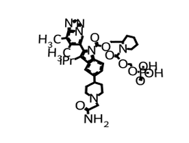 Cc1c(-c2c(C(C)C)c3cc(C4CCN(CC(N)=O)CC4)ccc3n2C(=O)OCC2CCCCN2C(=O)OCOP(=O)(O)O)cn2ncnc2c1C